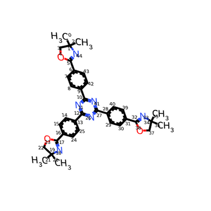 CC1(C)COC(c2ccc(-c3nc(-c4ccc(C5=NC(C)(C)CO5)cc4)nc(-c4ccc(C5=NC(C)(C)CO5)cc4)n3)cc2)=N1